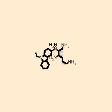 CCn1c2ccccc2c2cc(N(N)C(=C\N)/C(N)=C/C=C\N)ccc21